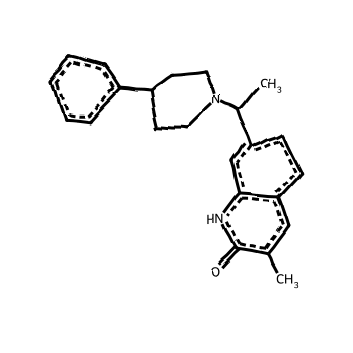 Cc1cc2ccc(C(C)N3CCC(c4ccccc4)CC3)cc2[nH]c1=O